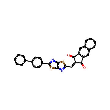 O=C1C(=Cc2nc3sc(-c4ccc(-c5ccccc5)cc4)nc3s2)C(=O)c2cc3ccccc3cc21